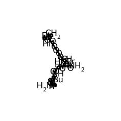 C=Cc1ccccc1N(Cc1ccccc1CC)C(=O)CCC(=O)NCCOCCOCCOCCOCCC(=O)N[C@H](C(=O)N[C@@H](CCCNC(N)=O)C(=O)Nc1ccc(COC(=O)NCc2ccc(Cn3c(CCCC)nc4c(N)nc5ccccc5c43)cc2)cc1)C(C)C